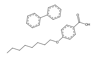 CCCCCCCCOc1ccc(C(=O)O)cc1.c1ccc(-c2ccccc2)cc1